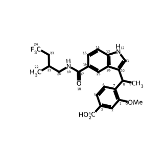 COc1cc(C(=O)O)ccc1C(C)c1c[nH]c2ccc(C(=O)NCC(C)CC(F)(F)F)cc12